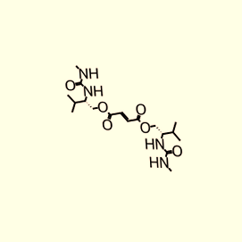 CNC(=O)N[C@H](COC(=O)/C=C/C(=O)OC[C@@H](NC(=O)NC)C(C)C)C(C)C